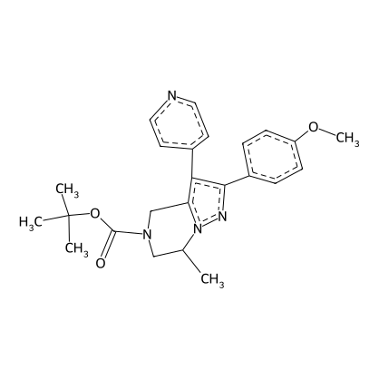 COc1ccc(-c2nn3c(c2-c2ccncc2)CN(C(=O)OC(C)(C)C)CC3C)cc1